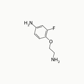 NCCOc1ccc(N)cc1F